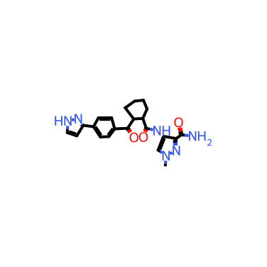 Cn1cc(NC(=O)C2CCCCC2C(=O)c2ccc(-c3cc[nH]n3)cc2)c(C(N)=O)n1